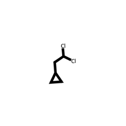 ClC(Cl)C[C]1CC1